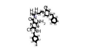 N/C(=N\C(=O)c1nc(Cl)c(NCc2ccc(I)cc2)nc1N)NCCN1CCN(Cc2ccccc2)CC1=O